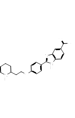 O=C(O)c1ccc2[nH]c(-c3ccc(OCCC4CCCCN4)cc3)nc2c1